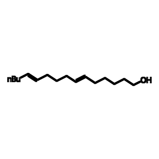 CCCCC=CCCCC=CCCCCCO